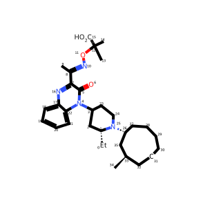 CC[C@@H]1CC(n2c(=O)c(/C(C)=N/OC(C)(C)C(=O)O)nc3ccccc32)CCN1[C@@H]1CCCCCC[C@@H](C)C1